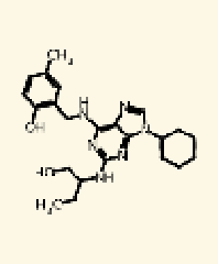 CCC(CO)Nc1nc(NCc2cc(C)ccc2O)c2ncn(C3CCCCC3)c2n1